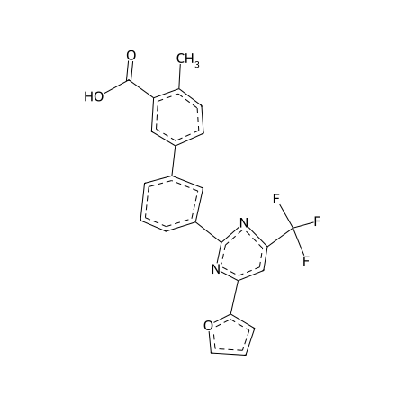 Cc1ccc(-c2cccc(-c3nc(-c4ccco4)cc(C(F)(F)F)n3)c2)cc1C(=O)O